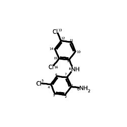 Nc1ccc(Cl)cc1Nc1ccc(Cl)cc1Cl